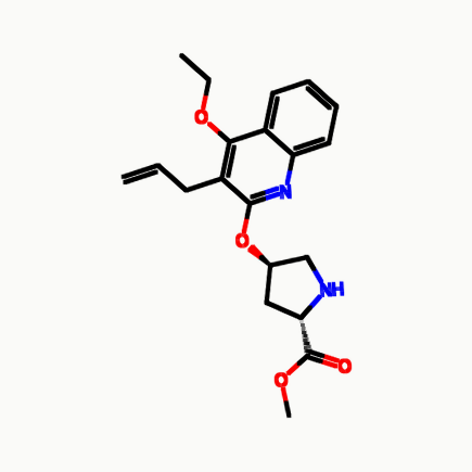 C=CCc1c(O[C@H]2CN[C@H](C(=O)OC)C2)nc2ccccc2c1OCC